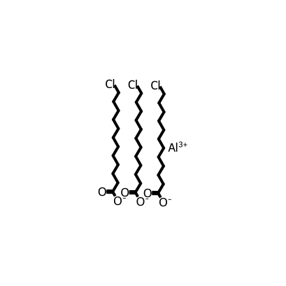 O=C([O-])CCCCCCCCCCCCl.O=C([O-])CCCCCCCCCCCCl.O=C([O-])CCCCCCCCCCCCl.[Al+3]